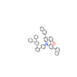 c1ccc(-c2ccc(-c3ccccc3-c3ccc(N(c4ccc(-c5ccc6ccccc6c5)cc4)c4ccc(-c5cccc6ccccc56)c5oc6ccccc6c45)cc3)cc2-c2ccccc2)cc1